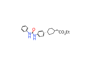 CCOC(=O)C[C@H]1CC[C@H](c2ccc(NC(=O)Nc3ccccc3)cc2)CC1